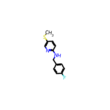 CSc1ccc(NCc2ccc(F)cc2)nc1